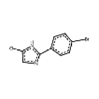 Clc1cnc(-c2ccc(Br)cc2)[nH]1